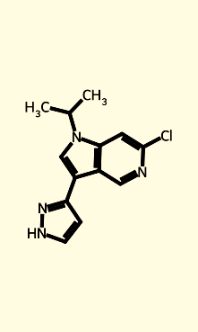 CC(C)n1cc(-c2cc[nH]n2)c2cnc(Cl)cc21